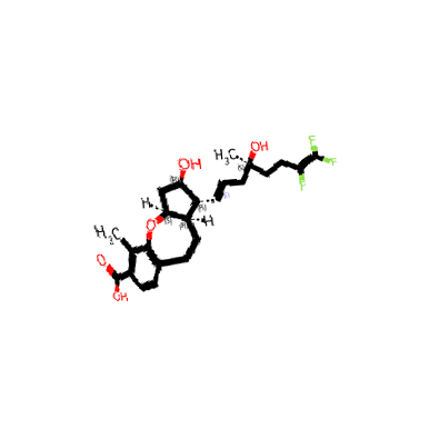 Cc1c(C(=O)O)ccc2c1O[C@H]1C[C@@H](O)[C@H](/C=C/C[C@@](C)(O)CCC(F)=C(F)F)[C@H]1CC2